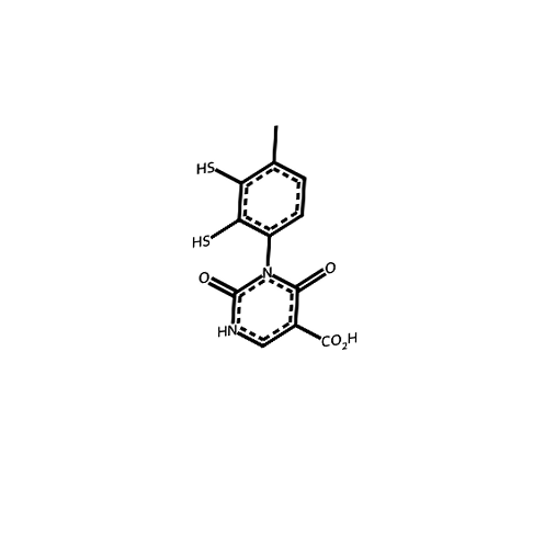 Cc1ccc(-n2c(=O)[nH]cc(C(=O)O)c2=O)c(S)c1S